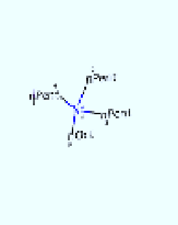 CCCCCCCC[N+](CCCCC)(CCCCC)CCCCC.[I-]